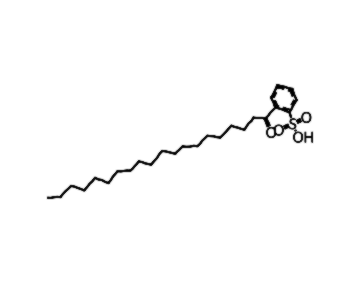 CCCCCCCCCCCCCCCCCCCC(=O)c1ccccc1S(=O)(=O)O